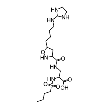 CCCCS(=O)(=O)NC(CNC(=O)C1CC(CCCCNC2NCCN2)ON1)C(=O)O